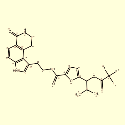 CN(C)C(OC(=O)C(F)(F)F)c1ccc(C(=O)NCCc2c[nH]c3ccc4c(c23)CCNC4=O)o1